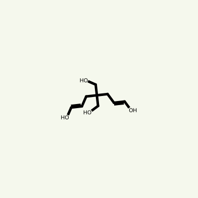 OC=CCC(CO)(CO)CC=CO